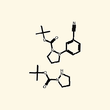 CC(C)(C)OC(=O)N1CCCN1.CC(C)(C)OC(=O)N1CCCN1c1cccc(C#N)c1